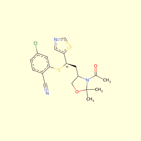 CC(=O)N1C(C[C@@H](Sc2cc(Cl)ccc2C#N)c2cncs2)COC1(C)C